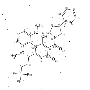 COc1cccc(OC)c1-n1c(CCCC(F)(F)F)nc(=O)c(C(=O)N2CCC(c3ccccc3)C2)c1O